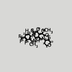 COc1c(=O)n(C2CCOCC2F)cc2c(N[C@H](C)c3cccc(C(F)F)c3F)nn(C)c(=O)c12